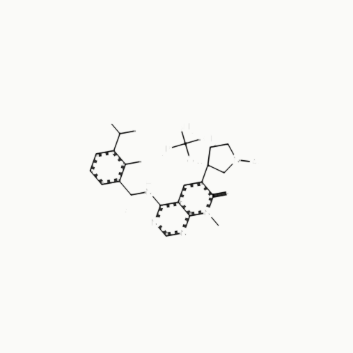 BC(B)(B)O[C@]1(c2cc3c(N[C@H](C)c4cccc(C(F)F)c4F)ncnc3n(C)c2=O)CCN(C(C)=O)C1